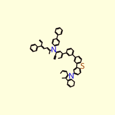 C#C/C(=C\C(=C/C)c1cccc(-c2ccc3sc4ccc(-n5c(/C=C\C)c(C)c6c5CCC=C6)cc4c3c2)c1)N(/C(C)=C/C=C(\C=C)c1ccccc1)c1ccc(-c2ccccc2)cc1